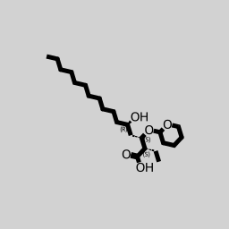 CCCCCCCCCCC[C@@H](O)C[C@H](OC1CCCCO1)[C@H](CC)C(=O)O